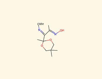 CON=C(C(C)=NO)C1(C)OCC(C)(C)CO1